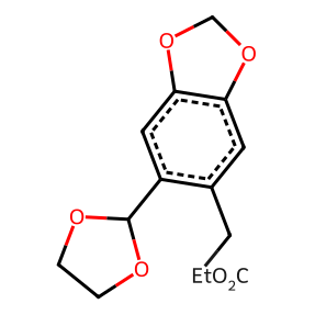 CCOC(=O)Cc1cc2c(cc1C1OCCO1)OCO2